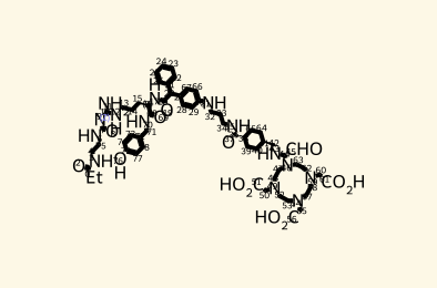 CCC(=O)NCCNC(=O)/N=C(/N)NCCC[C@@H](NC(=O)C(c1ccccc1)c1ccc(NCCCNC(=O)[C@H]2CC[C@H](CNC(C=O)N3CCN(CC(=O)O)CCN(CC(=O)O)CCN(CC(=O)O)CC3)CC2)cc1)C(=O)NCc1ccc(O)cc1